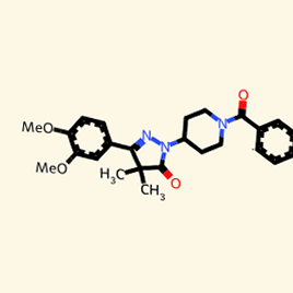 COc1ccc(C2=NN(C3CCN(C(=O)c4[c]cccc4)CC3)C(=O)C2(C)C)cc1OC